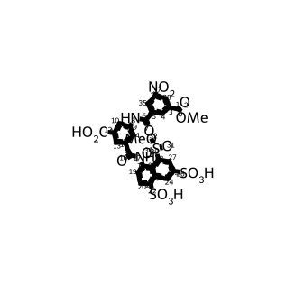 COC(=O)c1cc(C(=O)Nc2cc(C(=O)O)cc(C(=O)Nc3ccc(S(=O)(=O)O)c4cc(S(=O)(=O)O)cc(S(=O)(=O)OC)c34)c2)cc([N+](=O)[O-])c1